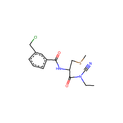 CCN(C#N)C(=O)C(CSC)NC(=O)c1cccc(CCl)c1